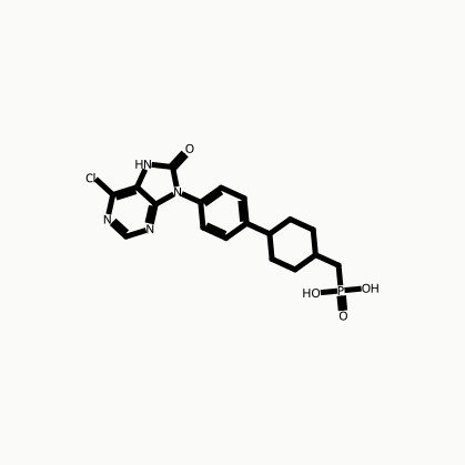 O=c1[nH]c2c(Cl)ncnc2n1-c1ccc(C2CCC(CP(=O)(O)O)CC2)cc1